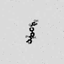 Cc1cc(-c2[nH]c3ccc(C4CCN(C(=O)C5CC(O)N(C)C5)CC4)cc3c2C(C)C)ccn1